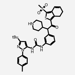 Cc1ccc(-n2nc(C(C)(C)C)cc2NC(=O)Nc2cccc(C(C(=O)c3sc(S(C)(=O)=O)c4c3CCC=C4)C3CCNCC3)c2)cc1